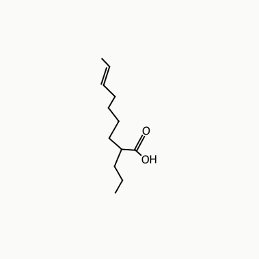 CC=CCCCCC(CCC)C(=O)O